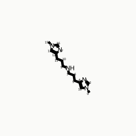 Cn1cnc(CCCNCCCc2cn(C)cn2)c1